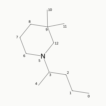 CCCC(C)N1CCCC(C)(C)C1